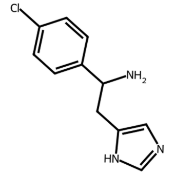 NC(Cc1cnc[nH]1)c1ccc(Cl)cc1